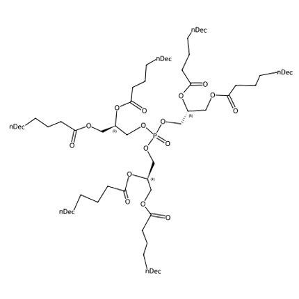 CCCCCCCCCCCCCC(=O)OC[C@H](COP(=O)(OC[C@@H](COC(=O)CCCCCCCCCCCCC)OC(=O)CCCCCCCCCCCCC)OC[C@@H](COC(=O)CCCCCCCCCCCCC)OC(=O)CCCCCCCCCCCCC)OC(=O)CCCCCCCCCCCCC